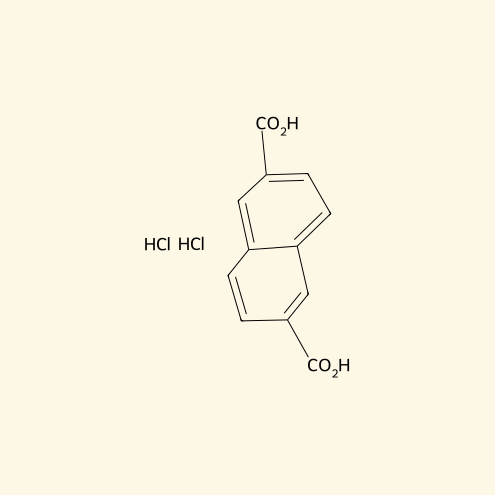 Cl.Cl.O=C(O)c1ccc2cc(C(=O)O)ccc2c1